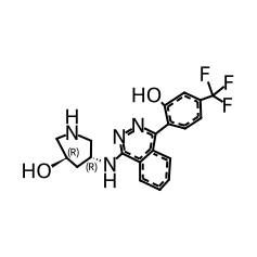 Oc1cc(C(F)(F)F)ccc1-c1nnc(N[C@H]2CNC[C@H](O)C2)c2ccccc12